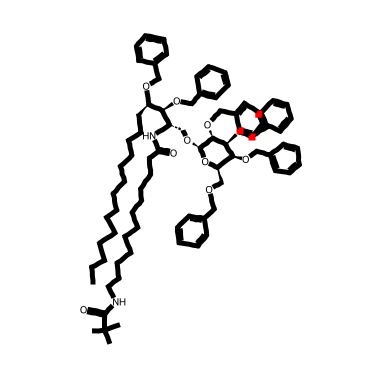 CCCCCCCCCCCCCC[C@@H](OCc1ccccc1)[C@@H](OCc1ccccc1)[C@H](CO[C@H]1O[C@H](COCc2ccccc2)[C@H](OCc2ccccc2)[C@H](OCc2ccccc2)[C@H]1OCc1ccccc1)NC(=O)CCCCCCCCCCCNC(=O)C(C)(C)C